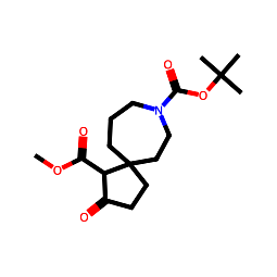 COC(=O)C1C(=O)CCC12CCCN(C(=O)OC(C)(C)C)CC2